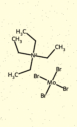 CC[N+](CC)(CC)CC.[Br][Mo]([Br])([Br])[Br]